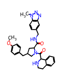 COc1ccc(CC2CC(C(=O)NCc3ccc4c(c3)nnn4C)N(C(=O)C3NCCc4ccccc43)C2)cc1